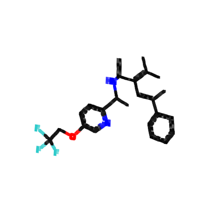 C=C(NC(C)c1ccc(OCC(F)(F)F)cn1)C(/C=C(\C)c1ccccc1)=C(C)C